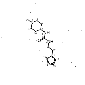 CN1CCC(NC(=O)NCCc2cccs2)CC1